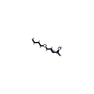 CCCCOC/C=C/C(C)=O